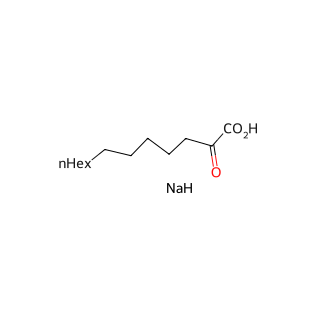 CCCCCCCCCCCC(=O)C(=O)O.[NaH]